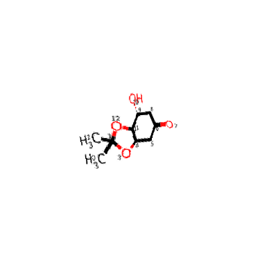 CC1(C)OC2CC(=O)C[C@@H](O)C2O1